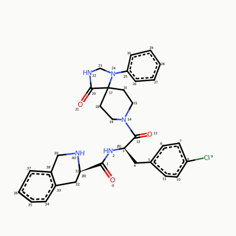 O=C(N[C@H](Cc1ccc(Cl)cc1)C(=O)N1CCC2(CC1)C(=O)NCN2c1ccccc1)[C@H]1Cc2ccccc2CN1